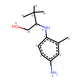 Cc1cc(N)ccc1NC(CO)C(C)(C)C